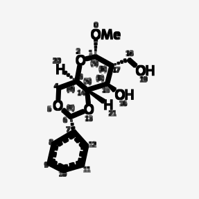 CO[C@H]1O[C@@H]2CO[C@@H](c3ccccc3)O[C@H]2[C@H](O)[C@H]1CO